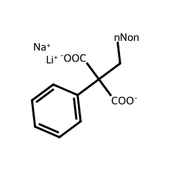 CCCCCCCCCCC(C(=O)[O-])(C(=O)[O-])c1ccccc1.[Li+].[Na+]